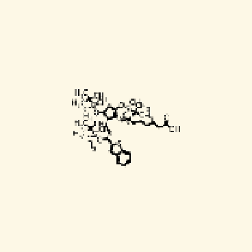 CC(C)(C)[Si](C)(C)OC1CC(O[Si](C)(C)C(C)(C)C)[C@H](CC[C@@H](O[Si](C)(C)C(C)(C)C)c2cc3ccccc3s2)[C@H]1CCCCCCCC(=O)O